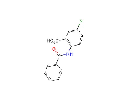 O=C(Nc1ccc(Br)cc1C(=O)O)c1ccccc1